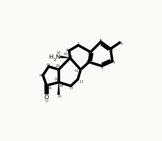 Cc1ccc2c(c1)CC[C@]1(N)C2CC[C@]2(C)C(=O)CCC12